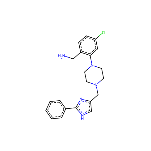 NCc1ccc(Cl)cc1N1CCN(Cc2c[nH]c(-c3ccccc3)n2)CC1